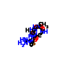 CC(=O)N[C@H]1CC(=O)NCCCC[C@@H](C(=O)N[C@@H](CCCNC(=N)N)C(=O)c2nc3ccccc3s2)NC(=O)[C@H](C)NC1=O